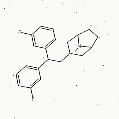 CN1C2CCC1CC(CC(c1cccc(F)c1)c1cccc(F)c1)C2